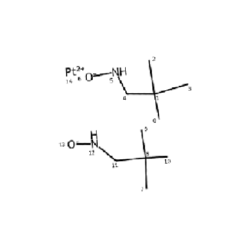 CC(C)(C)CN[O-].CC(C)(C)CN[O-].[Pt+2]